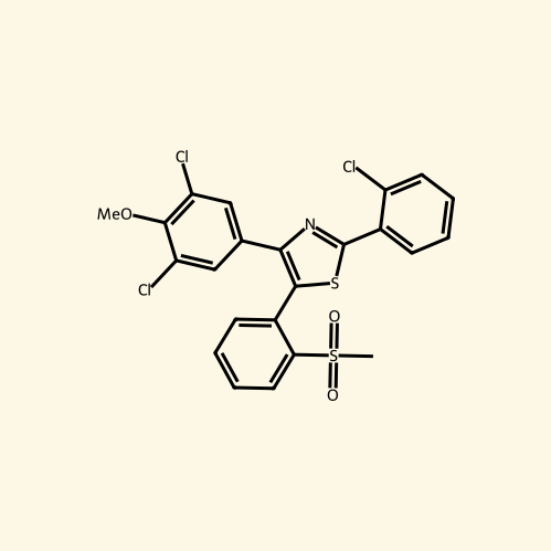 COc1c(Cl)cc(-c2nc(-c3ccccc3Cl)sc2-c2ccccc2S(C)(=O)=O)cc1Cl